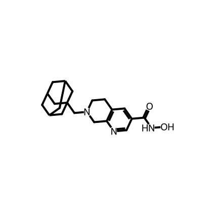 O=C(NO)c1cnc2c(c1)CCN(CC13CC4CC(CC(C4)C1)C3)C2